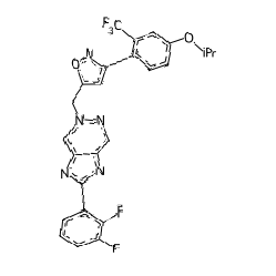 CC(C)Oc1ccc(-c2cc(Cn3cc4nc(-c5cccc(F)c5F)nc-4cn3)on2)c(C(F)(F)F)c1